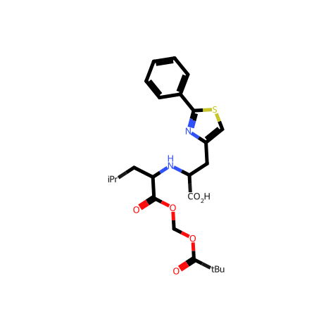 CC(C)CC(NC(Cc1csc(-c2ccccc2)n1)C(=O)O)C(=O)OCOC(=O)C(C)(C)C